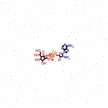 CO[C@H]1[C@@H](N)[C@H](n2cnc3c(N)ncnc32)O[C@@H]1COP(=O)(S)OP(=O)(O)OC1OC2(O)C1C(O)C(O)C2[C@@H](O)CO